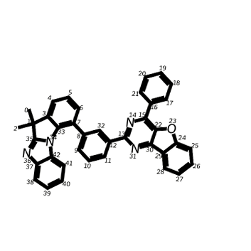 CC1(C)c2cccc(-c3cccc(-c4nc(-c5ccccc5)c5oc6ccccc6c5n4)c3)c2-n2c1nc1ccccc12